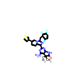 CC1(C)C(=O)Nc2nc(-c3nc(Cc4c(F)ccc(F)c4F)n4cc(-c5ccsc5)ccc34)nc(N)c21